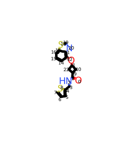 O=C(NCc1cccs1)C1CC(Oc2cccc3scnc23)C1